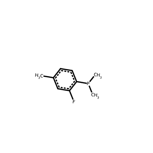 Cc1ccc(P(C)C)c(F)c1